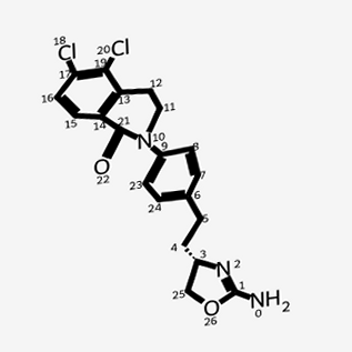 NC1=N[C@@H](CCc2ccc(N3CCc4c(ccc(Cl)c4Cl)C3=O)cc2)CO1